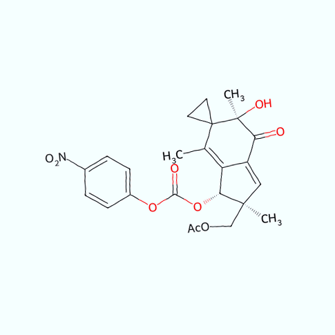 CC(=O)OC[C@]1(C)C=C2C(=O)[C@](C)(O)C3(CC3)C(C)=C2[C@H]1OC(=O)Oc1ccc([N+](=O)[O-])cc1